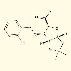 CC(=O)[C@H]1O[C@@H]2OC(C)(C)O[C@@H]2[C@H]1OCc1ccccc1Cl